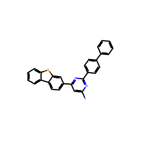 Ic1cc(-c2ccc3c(c2)sc2ccccc23)nc(-c2ccc(-c3ccccc3)cc2)n1